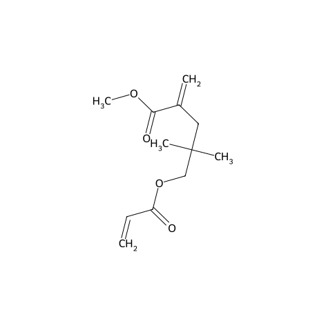 C=CC(=O)OCC(C)(C)CC(=C)C(=O)OC